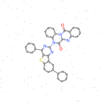 O=c1c2nc3ccccc3c(=O)n2c2ccccc2n1-c1nc(-c2ccccc2)c2sc3ccc(-c4ccccc4)cc3c2n1